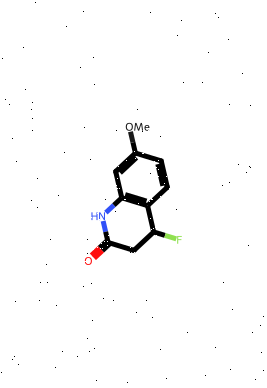 COc1ccc2c(c1)NC(=O)CC2F